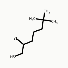 CC(C)(C)CCCC(Cl)CS